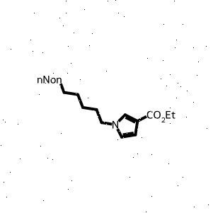 CCCCCCCCCCCCCCn1ccc(C(=O)OCC)c1